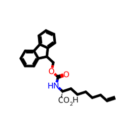 C=CCCCCC[C@@H](NC(=O)OCC1c2ccccc2-c2ccccc21)C(=O)O